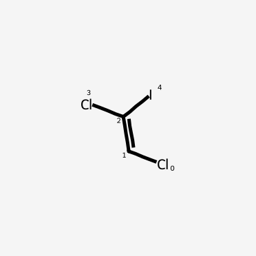 Cl/C=C(/Cl)I